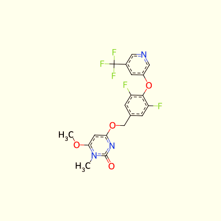 COc1cc(OCc2cc(F)c(Oc3cncc(C(F)(F)F)c3)c(F)c2)nc(=O)n1C